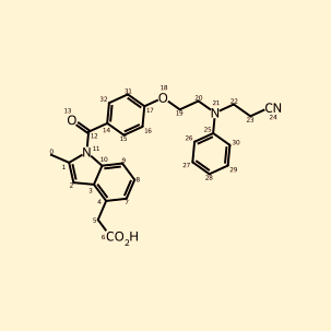 Cc1cc2c(CC(=O)O)cccc2n1C(=O)c1ccc(OCCN(CCC#N)c2ccccc2)cc1